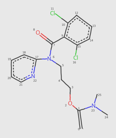 [CH]=C(OCCCN(C(=O)c1c(Cl)cccc1Cl)c1ccccn1)N(C)C